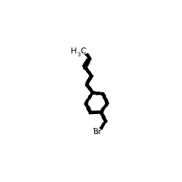 C/C=C/CCC1CCC(CBr)CC1